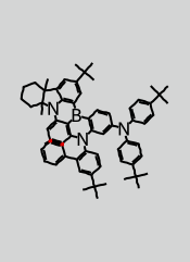 Cc1cc2c3c(c1)N1c4c(cc(C(C)(C)C)cc4C4(C)CCCCC14C)B3c1ccc(N(c3ccc(C(C)(C)C)cc3)c3ccc(C(C)(C)C)cc3)cc1N2c1ccc(C(C)(C)C)cc1-c1ccccc1